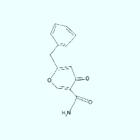 NC(=O)c1coc(Cc2ccccc2)cc1=O